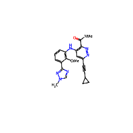 CNC(=O)c1nnc(C#CC2CC2)cc1Nc1cccc(-c2ncn(C)n2)c1OC